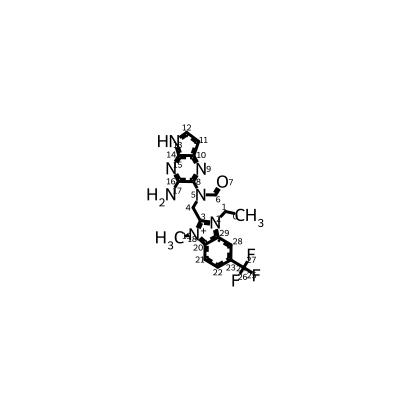 CCn1c(CN(C=O)c2nc3cc[nH]c3nc2N)[n+](C)c2ccc(C(F)(F)F)cc21